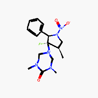 C[C@@H]1CN([N+](=O)[O-])C(c2ccccc2)[C@]1(F)N1CN(C)C(=O)N(C)C1